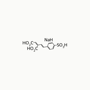 O=C(O)/C=C(/C=Cc1ccc(S(=O)(=O)O)cc1)C(=O)O.[NaH]